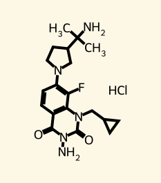 CC(C)(N)C1CCN(c2ccc3c(=O)n(N)c(=O)n(CC4CC4)c3c2F)C1.Cl